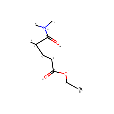 CCC(C)COC(=O)CCC(C)C(=O)N(C)C